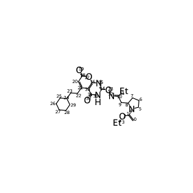 C=C(OCC)N1CCCC1C/C(CC)=N/Oc1nc2oc(=O)cc(CCC3CCCCC3)c2c(=O)[nH]1